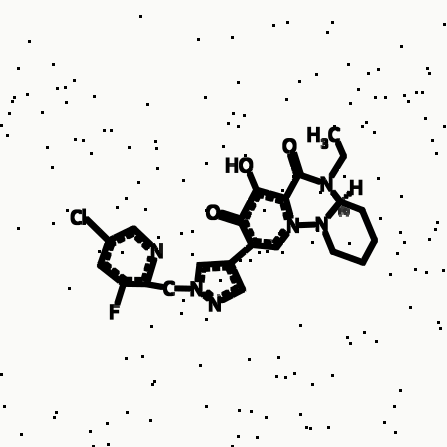 CCN1C(=O)c2c(O)c(=O)c(-c3cnn(Cc4ncc(Cl)cc4F)c3)cn2N2CCCC[C@H]12